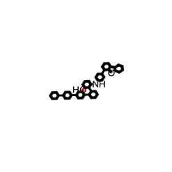 Oc1cccc(Nc2ccc(-c3cccc4c3oc3ccccc34)cc2)c1-c1ccccc1-c1ccc(-c2ccc(-c3ccccc3)cc2)cc1